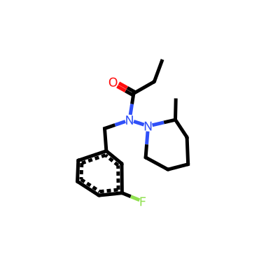 CCC(=O)N(Cc1cccc(F)c1)N1CCCCC1C